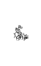 CC(C)(C)c1nc2ccc(Cl)c(S(=O)(=O)N3CCC(F)(F)C3)c2o1